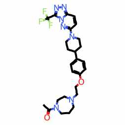 CC(=O)N1CCCN(CCOc2ccc(C3CCN(c4ccc5nnc(C(F)(F)F)n5n4)CC3)cc2)CC1